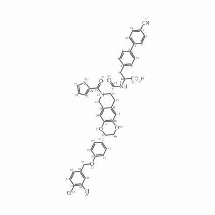 N#Cc1ccc(-c2ccc(CC(NC(=O)[C@@H]3Cc4cc5c(cc4CN3C(=O)c3cccs3)O[C@@H](c3ccc(OCc4ccc(Cl)c(Cl)c4)cc3)CO5)C(=O)O)cc2)cc1